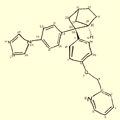 c1ccc(COc2ccc([C@@]3(c4ccc(-n5cnnc5)cc4)CC4CC[C@@H]3C4)cc2)nc1